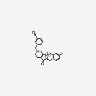 N#Cc1cccc(CN2CCc3c([nH]n(Cc4ccc(F)cc4Cl)c3=O)C2)c1